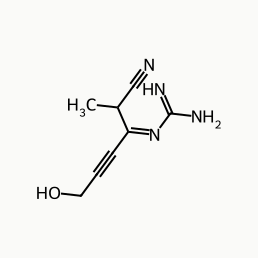 CC(C#N)/C(C#CCO)=N\C(=N)N